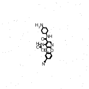 CC(C)Nc1c(C(=O)NC2CCC(N)CC2)cnc2c1Oc1cc(C#N)ccc1O2